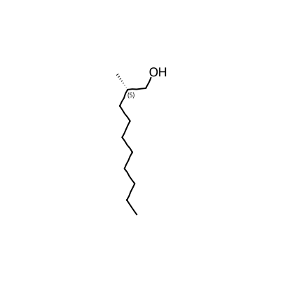 CCCCCCCC[C@H](C)CO